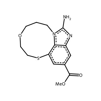 COC(=O)c1cc2c3c(c1)nc(N)n3CCCOCCS2